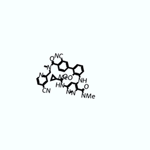 CNC(=O)c1nnc(NC(=O)C2CC2)cc1Nc1cccc(-c2ccc(C(=O)N(C)Cc3cc(C#N)ccn3)c(C#N)c2)c1OC